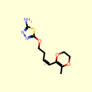 CC1=C(/C=C\CCOc2nnc(N)s2)OCCO1